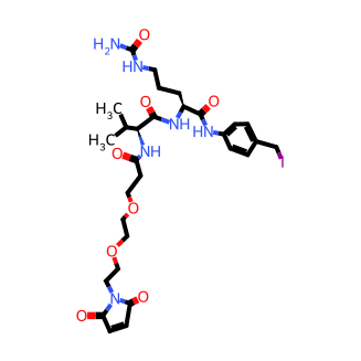 CC(C)[C@H](NC(=O)CCOCCOCCN1C(=O)C=CC1=O)C(=O)N[C@@H](CCCNC(N)=O)C(=O)Nc1ccc(CI)cc1